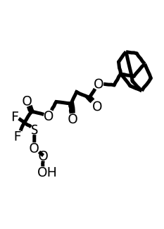 O=C(COC(=O)C(F)(F)SOOO)CC(=O)OCC12CC3CC(CC(C3)C1)C2